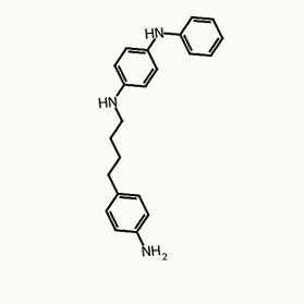 Nc1ccc(CCCCNc2ccc(Nc3ccccc3)cc2)cc1